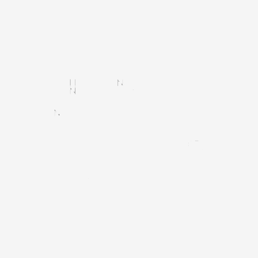 Nc1[nH]nc2cccc(OCC(F)(F)F)c12